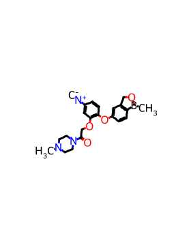 [C-]#[N+]c1ccc(Oc2ccc3c(c2)COB3C)c(OCC(=O)N2CCN(C)CC2)c1